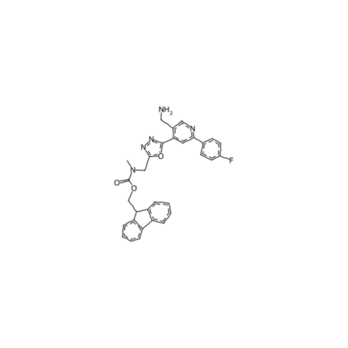 CN(Cc1nnc(-c2cc(-c3ccc(F)cc3)ncc2CN)o1)C(=O)OCC1c2ccccc2-c2ccccc21